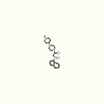 CN1CCC(N2CCN(C(=O)CNc3cccc4ccccc34)CC2)CC1